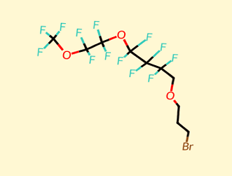 FC(F)(F)OC(F)(F)C(F)(F)OC(F)(F)C(F)(F)C(F)(F)COCCCBr